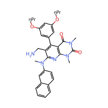 CCCOc1cc(OCCC)cc(-c2c(CN)c(N(C)c3ccc4ccccc4c3)nc3c2c(=O)n(C)c(=O)n3C)c1